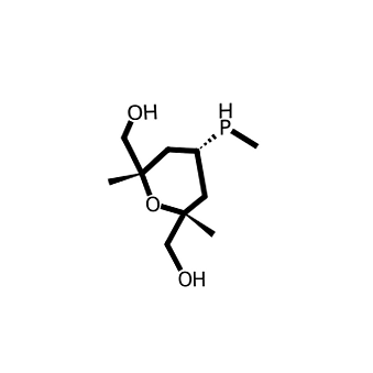 CP[C@@H]1C[C@](C)(CO)O[C@](C)(CO)C1